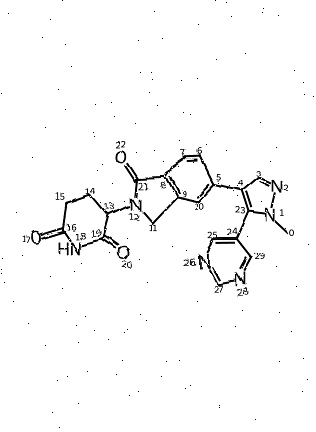 Cn1ncc(-c2ccc3c(c2)CN(C2CCC(=O)NC2=O)C3=O)c1-c1cncnc1